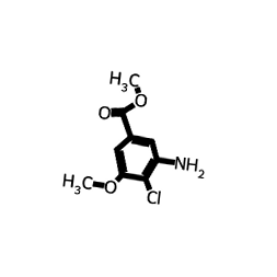 COC(=O)c1cc(N)c(Cl)c(OC)c1